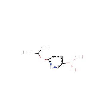 CC(C)Oc1ccc(B(O)O)cn1